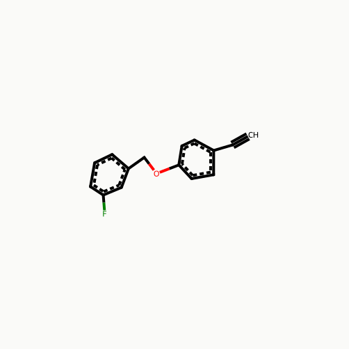 C#Cc1ccc(OCc2cccc(F)c2)cc1